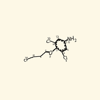 Nc1cc(Cl)c(OCCCCl)c(Cl)c1